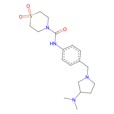 CN(C)C1CCN(Cc2ccc(NC(=O)N3CCS(=O)(=O)CC3)cc2)C1